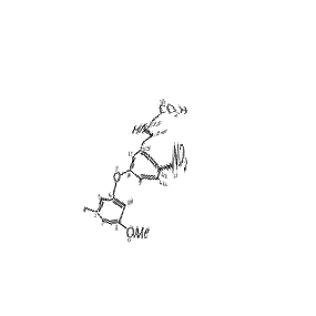 COc1cc(C)cc(Oc2ccc([N+](=O)[O-])c(CNC(=O)O)c2)c1